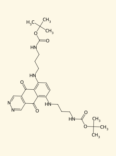 CC(C)(C)OC(=O)NCCCNc1ccc(NCCCNC(=O)OC(C)(C)C)c2c1C(=O)c1cnncc1C2=O